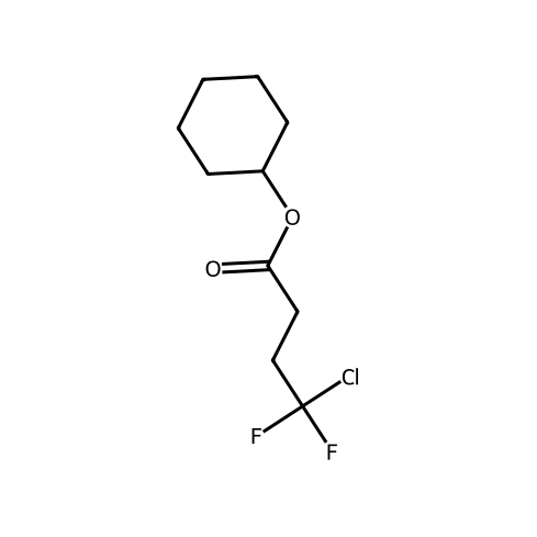 O=C(CCC(F)(F)Cl)OC1CCCCC1